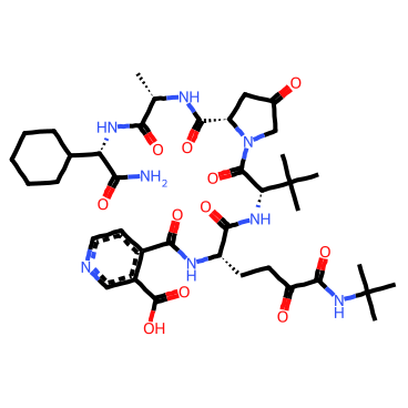 C[C@H](NC(=O)[C@@H]1CC(=O)CN1C(=O)[C@@H](NC(=O)[C@H](CCC(=O)C(=O)NC(C)(C)C)NC(=O)c1ccncc1C(=O)O)C(C)(C)C)C(=O)N[C@H](C(N)=O)C1CCCCC1